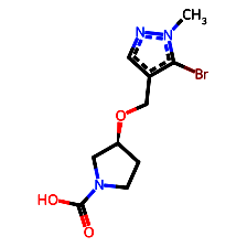 Cn1ncc(CO[C@H]2CCN(C(=O)O)C2)c1Br